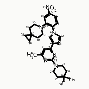 Cc1cc(-c2cn(-c3ccc([N+](=O)[O-])cc3N3CCC4(CC3)CC4)cn2)nc(N2CCC(F)(F)CC2)n1